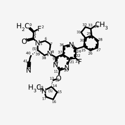 C=C(F)C(=O)N1CCN(c2nc(OC[C@@H]3CCCN3C)nc3c(F)c(-c4cccc5c4CCC5C)ncc23)C[C@@H]1CC#N